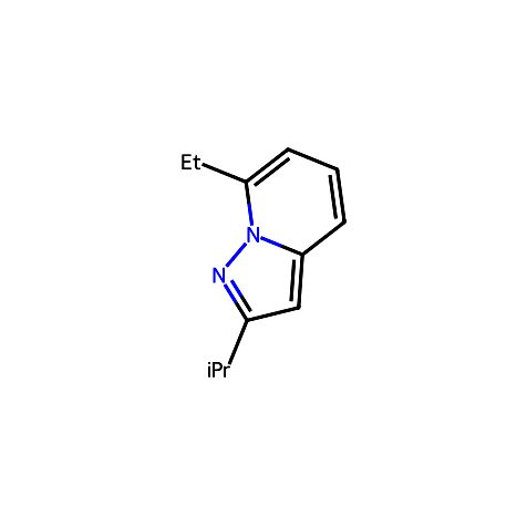 CCc1cccc2cc(C(C)C)nn12